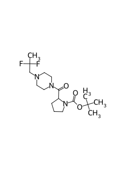 CC(F)(F)CN1CCN(C(=O)C2CCCN2C(=O)OC(C)(C)C)CC1